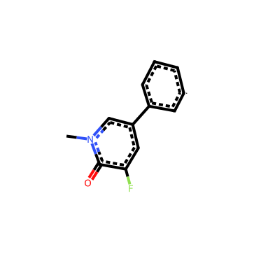 Cn1cc(-c2c[c]ccc2)cc(F)c1=O